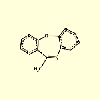 [CH2]C1=Nc2ccccc2Oc2ccccc21